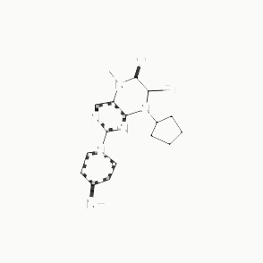 CCC1C(=O)N(C)c2cnc(-n3ccc(=N)cc3)nc2N1C1CCCC1